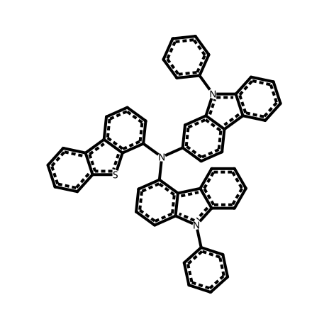 c1ccc(-n2c3ccccc3c3ccc(N(c4cccc5c4sc4ccccc45)c4cccc5c4c4ccccc4n5-c4ccccc4)cc32)cc1